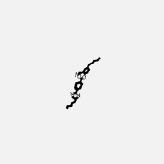 CCCCCc1cnc(-c2ccc(C(=O)Oc3ccc(CCCCC)cc3C#N)cc2)nc1